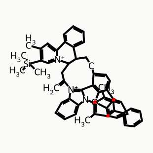 C=C1CC2C(CCc3ccc4c(oc5ccccc54)c3-c3n(-c4c(C)cc(-c5ccccc5)cc4C)c4ccccc4[n+]31)c1ccccc1-c1cc(C)c([Si](C)(C)C)c[n+]12